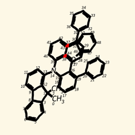 CC1(C)c2ccccc2-c2cccc(N(c3cccc(-c4ccccc4)c3-c3ccc(-c4ccccc4)cc3)c3cccc4c3oc3ccccc34)c21